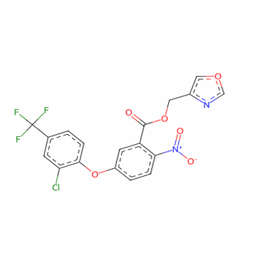 O=C(OCc1cocn1)c1cc(Oc2ccc(C(F)(F)F)cc2Cl)ccc1[N+](=O)[O-]